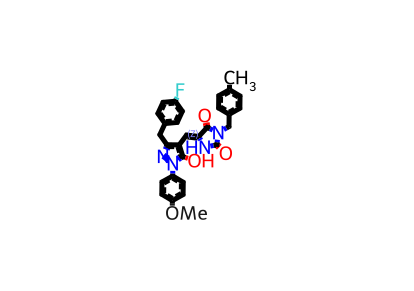 COc1ccc(-n2nc(Cc3ccc(F)cc3)c(/C=C3\NC(=O)N(Cc4ccc(C)cc4)C3=O)c2O)cc1